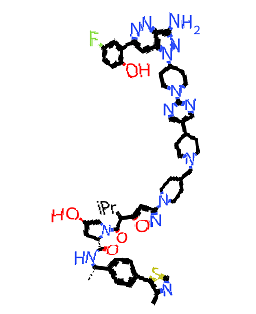 Cc1ncsc1-c1ccc([C@H](C)NC(=O)[C@@H]2C[C@@H](O)CN2C(=O)C(c2cc(N3CCC(CN4CCC(c5cnc(N6CCC(n7nc(N)c8nnc(-c9cc(F)ccc9O)cc87)CC6)nc5)CC4)CC3)no2)C(C)C)cc1